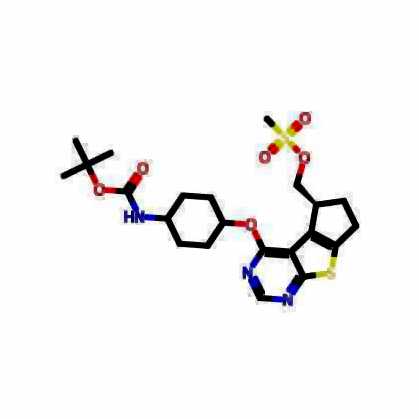 CC(C)(C)OC(=O)NC1CCC(Oc2ncnc3sc4c(c23)[C@@H](COS(C)(=O)=O)CC4)CC1